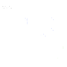 CNCCNc1ccc2ncnc(Nc3ccc(F)c(F)c3)c2c1